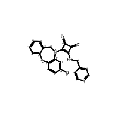 O=c1c(NCc2ccncc2)c(N2Cc3ccccc3Oc3ccc(Cl)cc32)c1=O